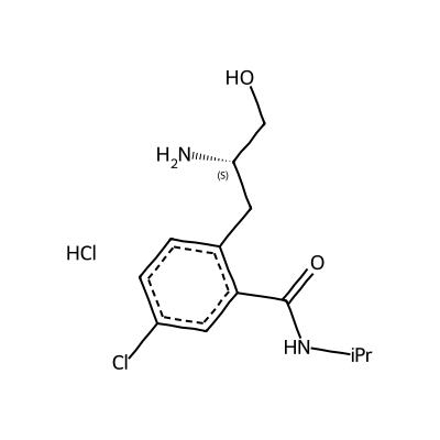 CC(C)NC(=O)c1cc(Cl)ccc1C[C@H](N)CO.Cl